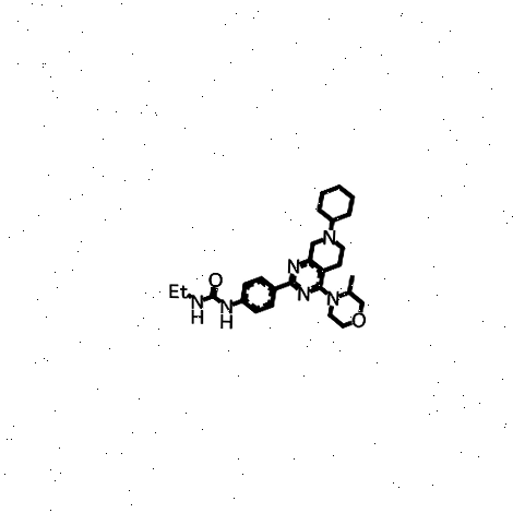 CCNC(=O)Nc1ccc(-c2nc3c(c(N4CCOCC4C)n2)CCN(C2CCCCC2)C3)cc1